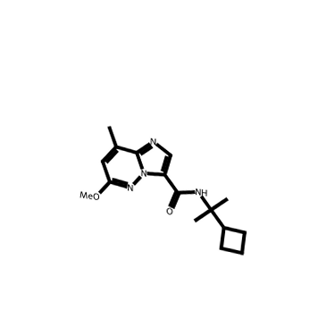 COc1cc(C)c2ncc(C(=O)NC(C)(C)C3CCC3)n2n1